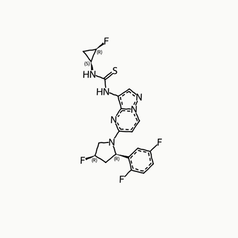 Fc1ccc(F)c([C@H]2C[C@@H](F)CN2c2ccn3ncc(NC(=S)N[C@H]4C[C@H]4F)c3n2)c1